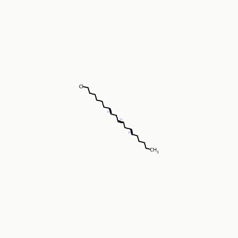 CCCCC/C=C/C/C=C/C/C=C/CCCCCCCl